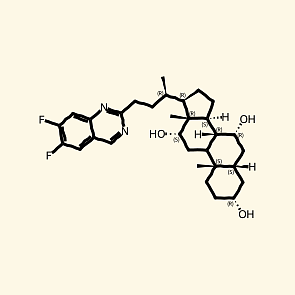 C[C@H](CCc1ncc2cc(F)c(F)cc2n1)[C@H]1CC[C@H]2[C@H]3C(C[C@H](O)[C@]12C)[C@@]1(C)CC[C@@H](O)C[C@H]1C[C@H]3O